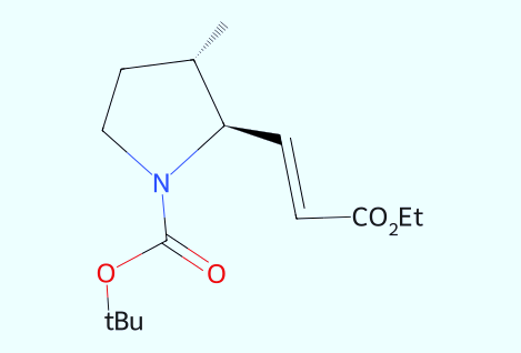 CCOC(=O)/C=C/[C@@H]1[C@@H](C)CCN1C(=O)OC(C)(C)C